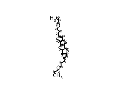 CCCOCCCc1cc2c(s1)C1Sc3c(sc4cc(CCCOCCC)sc34)C1S2